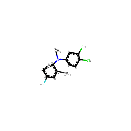 CN(c1ccc(Cl)c(Cl)c1)c1ccc(F)cc1[N+](=O)[O-]